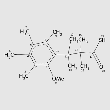 COc1c(C)c(C)c(C)c(C)c1C(C)(C)C(C)(C)C(=O)S